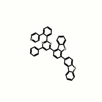 c1ccc(-c2cc(-c3ccc(-c4ccc5sc6ccccc6c5c4)c4oc5ccccc5c34)nc(-c3ccccc3-c3ccncc3)n2)cc1